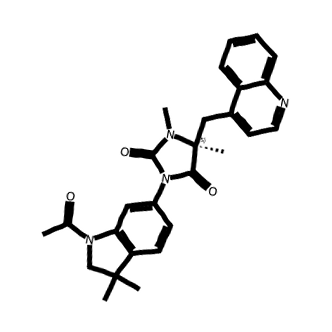 CC(=O)N1CC(C)(C)c2ccc(N3C(=O)N(C)[C@@](C)(Cc4ccnc5ccccc45)C3=O)cc21